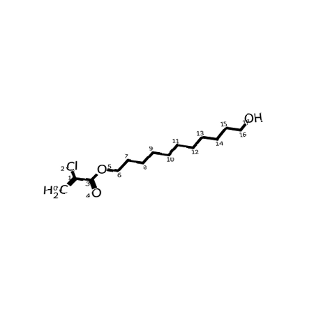 C=C(Cl)C(=O)OCCCCCCCCCCCO